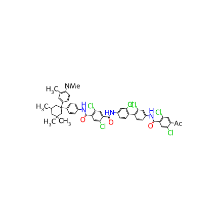 CNc1ccc(C2(c3ccc(NC(=O)c4cc(Cl)c(C(=O)Nc5ccc(-c6ccc(NC(=O)c7cc(Cl)c(C(C)=O)cc7Cl)cc6Cl)c(Cl)c5)cc4Cl)cc3)CC(C)CC(C)(C)C2)cc1C